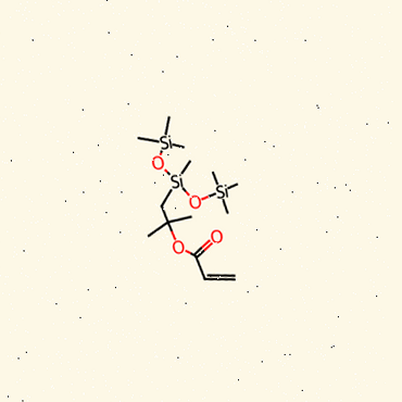 C=CC(=O)OC(C)(C)C[Si](C)(O[Si](C)(C)C)O[Si](C)(C)C